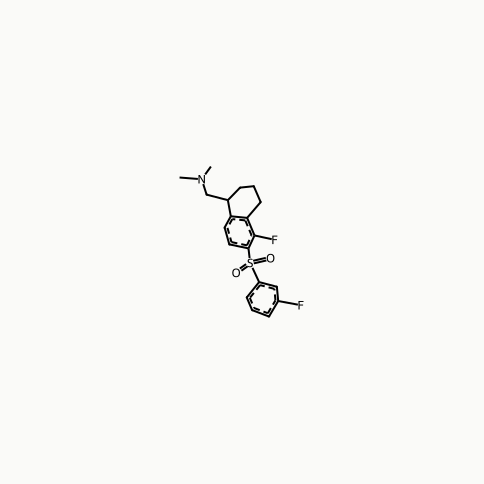 CN(C)CC1CCCc2c1ccc(S(=O)(=O)c1cccc(F)c1)c2F